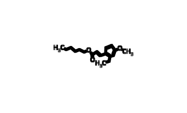 CCCCCCOC(=O)C=Cc1ccc(OC)cc1CC